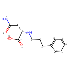 NC(=O)C[C@H](NCCCc1ccccc1)C(=O)O